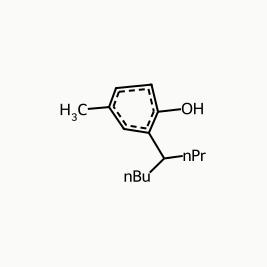 CCCCC(CCC)c1cc(C)ccc1O